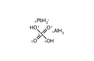 O=S(=O)(O)O.[AlH3].[PbH2]